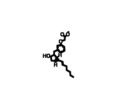 CCCCCC=CC1[C@H]2C(Cc3cccc(OCC(=O)OC)c3)C(O)C[C@@H]12